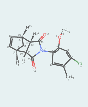 COc1cc(Cl)c(C)cc1N1C(=O)[C@@H]2[C@H](C1=O)[C@@H]1C=C[C@H]2C1